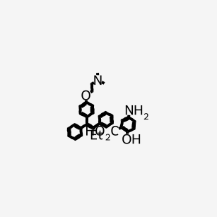 CC/C(=C(\c1ccccc1)c1ccc(OCCN(C)C)cc1)c1ccccc1.Nc1ccc(O)c(C(=O)O)c1